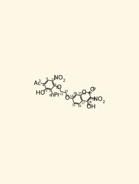 CCCc1c(O)c(C(C)=O)cc([N+](=O)[O-])c1OCCOc1ccc2c(O)c([N+](=O)[O-])c(=O)oc2c1